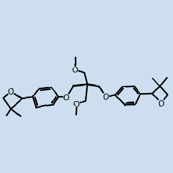 COCC(COC)(COc1ccc(C2OCC2(C)C)cc1)COc1ccc(C2OCC2(C)C)cc1